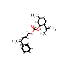 CC1CCC(C(C)C)C(OC(=O)OCC=CC(C)c2ccccc2)C1